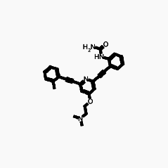 Cc1ccccc1C#Cc1cc(OCCN(C)C)cc(C#Cc2ccccc2NC(N)=O)n1